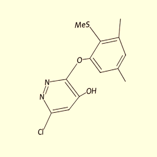 CSc1c(C)cc(C)cc1Oc1nnc(Cl)cc1O